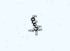 OC[C@H]1OC(c2cc(Cc3ccc(O)cc3)c(Cl)s2)[C@H](O)[C@@H](O)[C@@H]1O